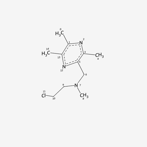 Cc1nc(C)c(CN(C)CCCl)nc1C